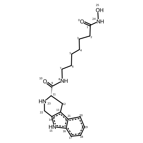 O=C(CCCCCCNC(=O)[C@@H]1Cc2c([nH]c3ccccc23)CN1)NO